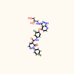 O=C(Nc1ccc(Oc2ccnc3[nH]nc(NC[C@H](O)CO)c23)c(F)c1)c1ccnn(-c2ccc(F)cc2)c1=O